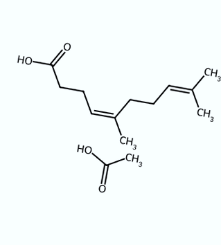 CC(=O)O.CC(C)=CCC/C(C)=C\CCC(=O)O